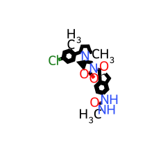 CNC(=O)Nc1ccc2c(c1)CC[C@@]21OC(=O)N(CC2(N3C(C)CCC3c3ccc(Cl)cc3C)CC2)C1=O